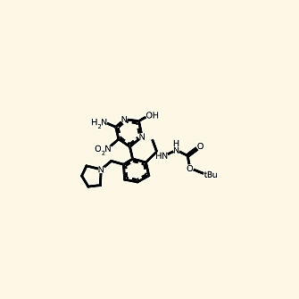 CC(NNC(=O)OC(C)(C)C)c1cccc(CN2CCCC2)c1-c1nc(O)nc(N)c1[N+](=O)[O-]